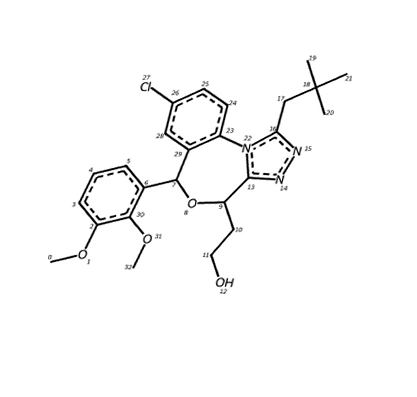 COc1cccc(C2OC(CCO)c3nnc(CC(C)(C)C)n3-c3ccc(Cl)cc32)c1OC